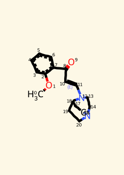 COc1ccccc1C(=O)/C=C/N1CCN2CCC1CC2